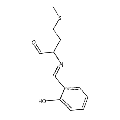 CSCCC(C=O)N=Cc1ccccc1O